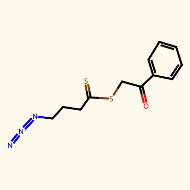 [N-]=[N+]=NCCCC(=S)SCC(=O)c1ccccc1